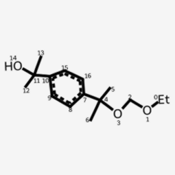 CCOCOC(C)(C)c1ccc(C(C)(C)O)cc1